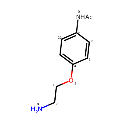 CC(=O)Nc1ccc(OCCN)cc1